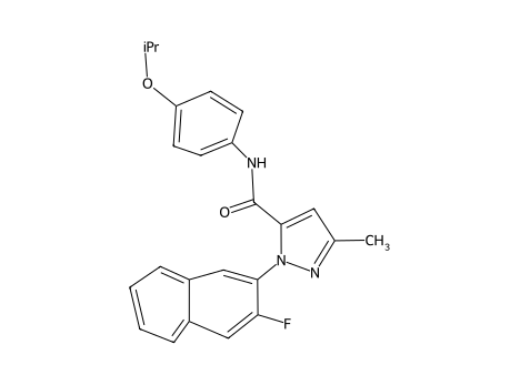 Cc1cc(C(=O)Nc2ccc(OC(C)C)cc2)n(-c2cc3ccccc3cc2F)n1